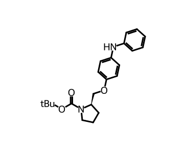 CC(C)(C)OC(=O)N1CCC[C@@H]1COc1ccc(Nc2ccccc2)cc1